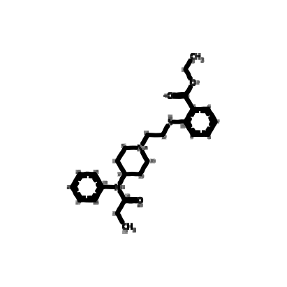 CCOC(=O)c1ccccc1SCCN1CCC(N(C(=O)CC)c2ccccc2)CC1